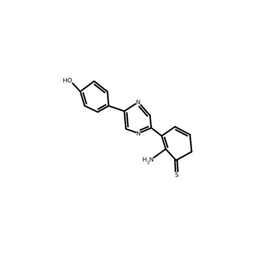 NC1=C(c2cnc(-c3ccc(O)cc3)cn2)C=CCC1=S